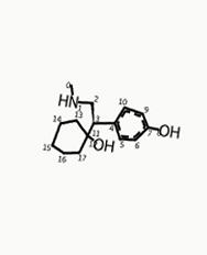 CNC[C@@H](c1ccc(O)cc1)C1(O)CCCCC1